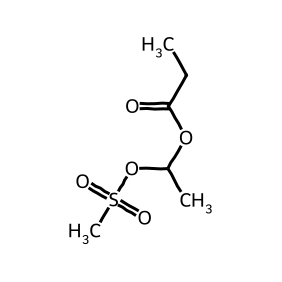 CCC(=O)OC(C)OS(C)(=O)=O